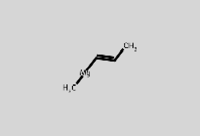 CC=[CH][Mg][CH3]